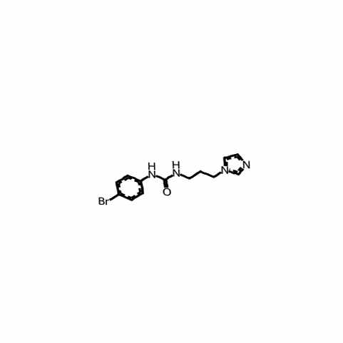 O=C(NCCCn1ccnc1)Nc1ccc(Br)cc1